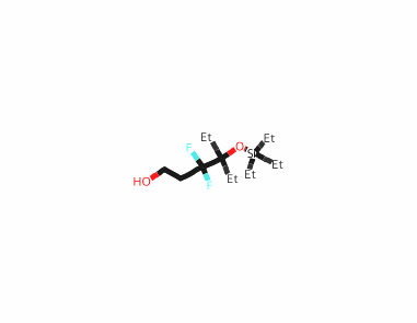 CCC(CC)(O[Si](CC)(CC)CC)C(F)(F)CCO